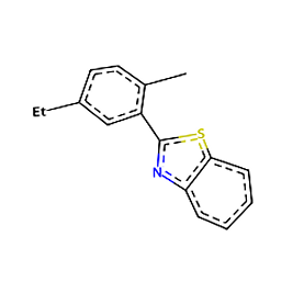 CCc1ccc(C)c(-c2nc3ccccc3s2)c1